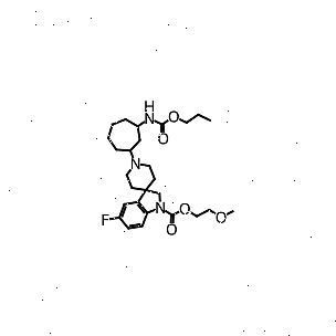 CCCOC(=O)NC1CCCCC(N2CCC3(CC2)CN(C(=O)OCCOC)c2ccc(F)cc23)C1